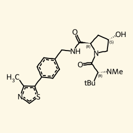 CN[C@@H](C(=O)N1C[C@@H](O)C[C@@H]1C(=O)NCc1ccc(-c2scnc2C)cc1)C(C)(C)C